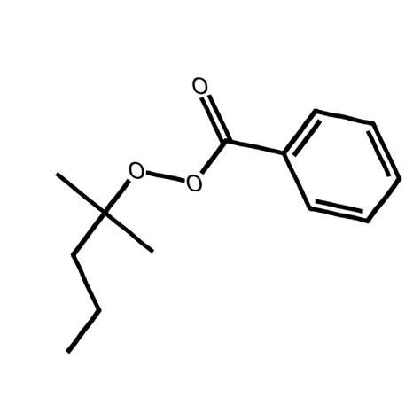 CCCC(C)(C)OOC(=O)c1ccccc1